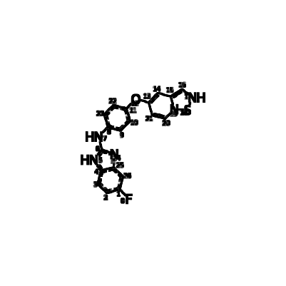 Fc1ccc2[nH]c(Nc3ccc(OC4=CC5=CNSN5C=C4)cc3)nc2c1